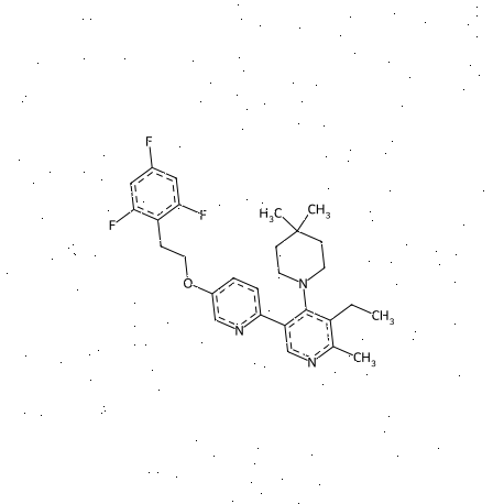 CCc1c(C)ncc(-c2ccc(OCCc3c(F)cc(F)cc3F)cn2)c1N1CCC(C)(C)CC1